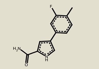 Cc1ccc(-c2c[nH]c(C(N)=O)c2)cc1F